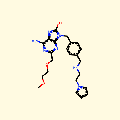 COCCOCc1nc(N)c2nc(O)n(Cc3ccc(CNCCn4cccc4)cc3)c2n1